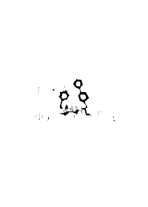 O=C(NC(Cc1ccc(-c2ccccc2)cc1)C[C@@H](O)C(=O)O)c1cc(C(=O)O)n(Cc2ccc(Cl)c(SC(F)(F)F)c2)n1